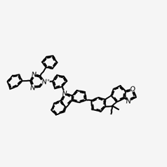 CC1(C)c2ccc(-c3ccc4c(c3)c3ccccc3n4-c3cccc(-[n+]4cnc(-c5ccccc5)nc4-c4ccccc4)c3)cc2-c2ccc3ocnc3c21